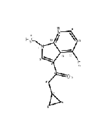 Cn1cc(C(=O)CC2CC2)c2c(F)ccnc21